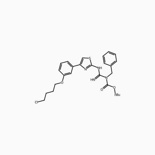 CCCCOC(=O)N(Cc1ccccc1)C(=N)Nc1nc(-c2cccc(OCCCCCl)c2)cs1